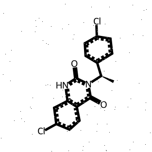 C[C@H](c1ccc(Cl)cc1)n1c(=O)[nH]c2cc(Cl)ccc2c1=O